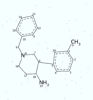 Cc1cccc(C2CN(Cc3ccccc3)CCC2N)c1